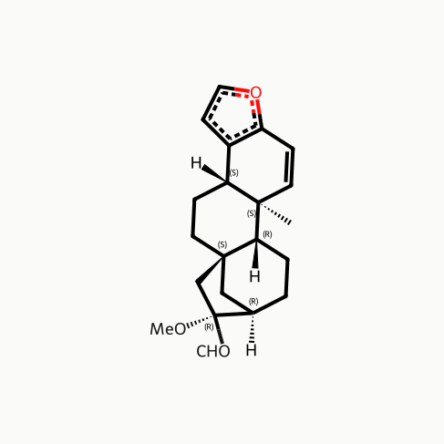 CO[C@]1(C=O)C[C@@]23CC[C@@H]4c5ccoc5C=C[C@@]4(C)[C@@H]2CC[C@@H]1C3